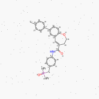 CCCP(=O)(CCC)Cc1ccc(NC(=O)C2=Cc3cc(-c4ccc(C)cc4)ccc3OCC2)cc1